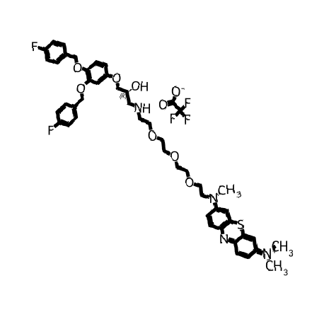 CN(CCOCCOCCOCCNC[C@@H](O)COc1ccc(OCc2ccc(F)cc2)c(OCc2ccc(F)cc2)c1)c1ccc2nc3ccc(=[N+](C)C)cc-3sc2c1.O=C([O-])C(F)(F)F